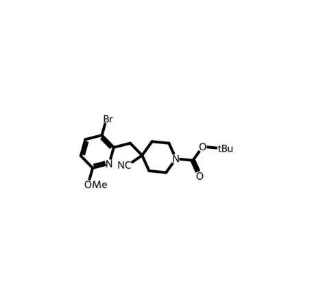 COc1ccc(Br)c(CC2(C#N)CCN(C(=O)OC(C)(C)C)CC2)n1